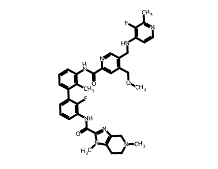 COCc1cc(C(=O)Nc2cccc(-c3cccc(NC(=O)c4nc5c(n4C)CCN(C)C5)c3F)c2C)ncc1CNc1ccnc(C)c1F